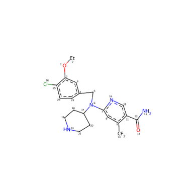 CCOc1cc(CN(c2cc(C(F)(F)F)c(C(N)=O)cn2)C2CCNCC2)ccc1Cl